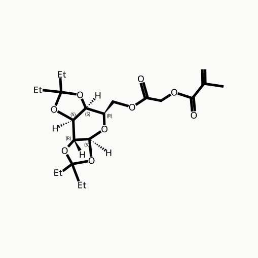 C=C(C)C(=O)OCC(=O)OC[C@H]1O[C@H]2OC(CC)(CC)O[C@@H]2[C@H]2OC(CC)(CC)O[C@H]21